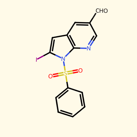 O=Cc1cnc2c(c1)cc(I)n2S(=O)(=O)c1ccccc1